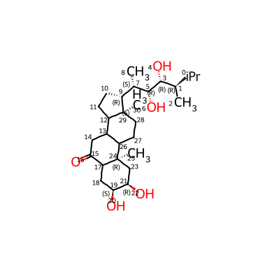 CC(C)[C@@H](C)[C@@H](O)[C@H](O)[C@@H](C)[C@H]1CCC2C3CC(=O)C4C[C@H](O)[C@H](O)C[C@]4(C)C3CC[C@@]21C